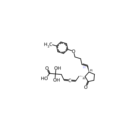 Cc1ccc(OCC/C=C/[C@H]2CCC(=O)[C@@H]2CC=C=CCC(O)(O)C(=O)O)cc1